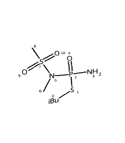 CCC(C)SP(N)(=O)N(C)S(C)(=O)=O